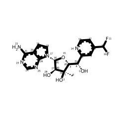 C[C@@]1(O)[C@@H]([C@@H](O)c2cc(C(F)F)ccn2)O[C@@H](n2ccc3c(N)ncnc32)[C@@H]1O